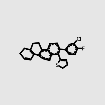 Fc1ccc(-c2ccc3c4c(ccc3c2C2=CCCS2)C2=C(CCC=C2)CC4)cc1Cl